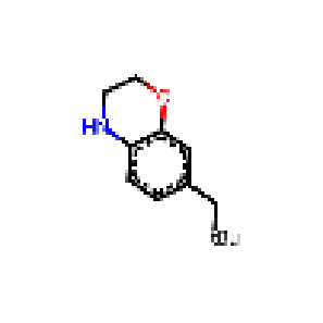 CC(C)(C)Cc1ccc2c(c1)OCCN2